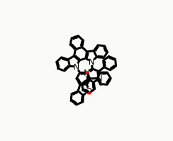 c1ccc(-c2nc3ccccc3nc2-n2c3ccccc3c3c4ccccc4c4c5ccccc5n(-c5cc(-c6ccccc6)c6oc7ccccc7c6c5)c4c32)cc1